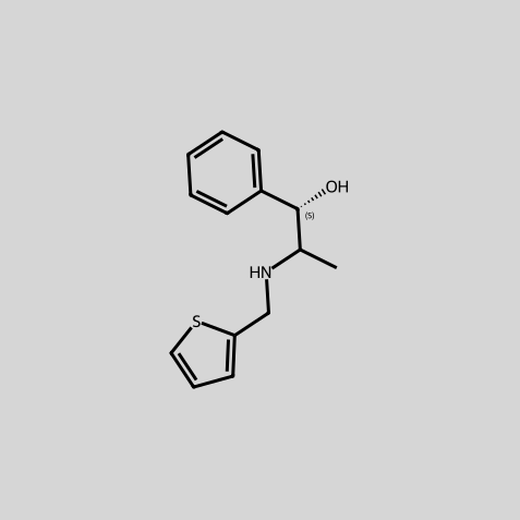 CC(NCc1cccs1)[C@@H](O)c1ccccc1